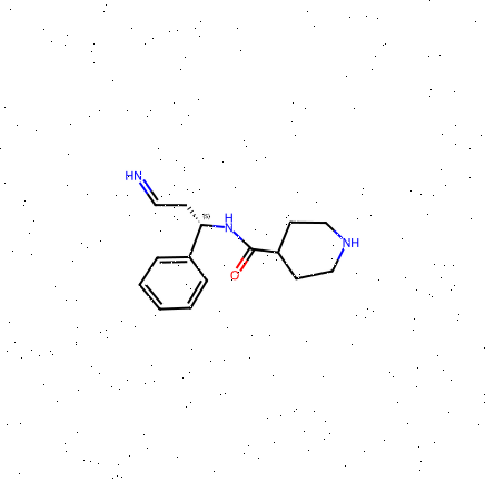 N=CC[C@H](NC(=O)C1CCNCC1)c1ccccc1